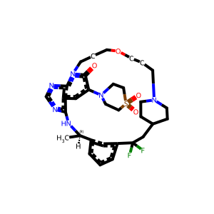 C[C@H]1Nc2ncnc3c2cc(N2CCS(=O)(=O)CC2)c(=O)n3CCCOCCCN2CCC(CC2)CC(F)(F)c2cccc1c2